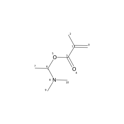 C=C(C)C(=O)O[C](C)N(C)C